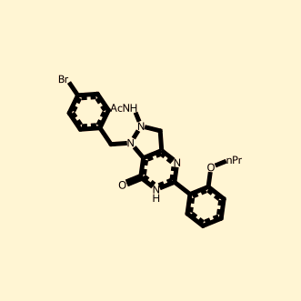 CCCOc1ccccc1-c1nc2c(c(=O)[nH]1)N(Cc1ccc(Br)cc1)N(NC(C)=O)C2